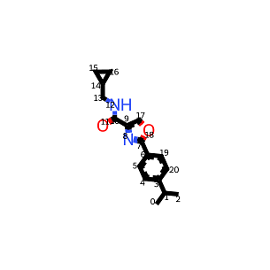 CC(C)c1ccc(-c2nc(C(=O)NCC3CC3)co2)cc1